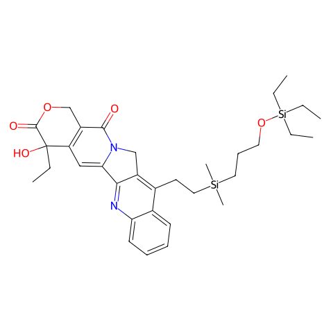 CCC1(O)C(=O)OCc2c1cc1n(c2=O)Cc2c-1nc1ccccc1c2CC[Si](C)(C)CCCO[Si](CC)(CC)CC